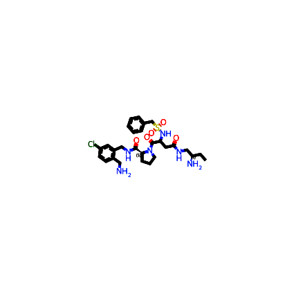 CC[C@H](N)CNC(=O)CC(NS(=O)(=O)Cc1ccccc1)C(=O)N1CCC[C@H]1C(=O)NCc1cc(Cl)ccc1CN